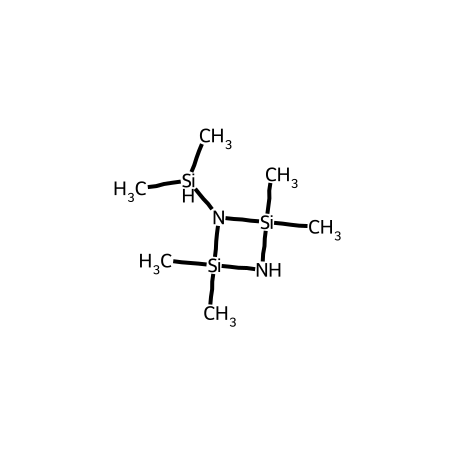 C[SiH](C)N1[Si](C)(C)N[Si]1(C)C